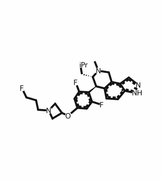 CC(C)C[C@H]1[C@H](c2c(F)cc(OC3CN(CCCF)C3)cc2F)c2ccc3[nH]ncc3c2CN1C